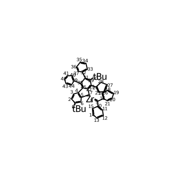 CC(C)(C)c1ccc2c(c1)[CH]([Zr]=[C](c1ccccc1)c1ccccc1)c1c(C3=CC=CC3)c(C(C)(C)C)c(-c3ccccc3)c(-c3ccccc3)c1-2